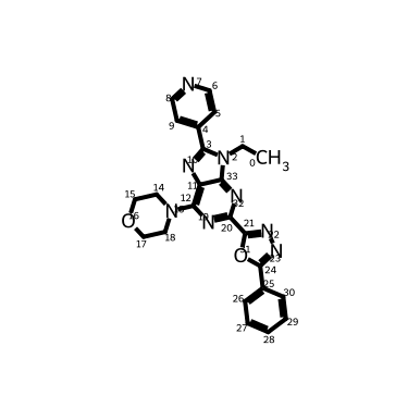 CCn1c(-c2ccncc2)nc2c(N3CCOCC3)nc(-c3nnc(-c4ccccc4)o3)nc21